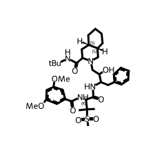 COc1cc(OC)cc(C(=O)N[C@H](C(=O)NC(Cc2ccccc2)C(O)CN2C[C@H]3CCCC[C@H]3CC2C(=O)NC(C)(C)C)C(C)(C)S(C)(=O)=O)c1